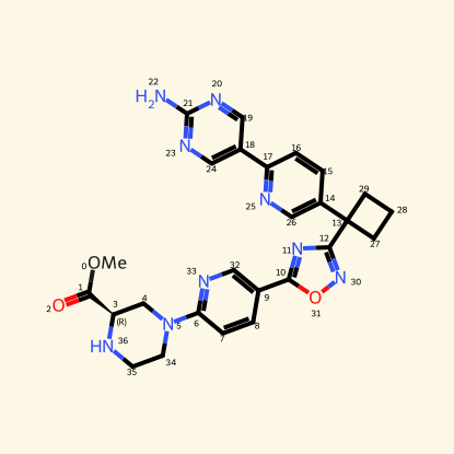 COC(=O)[C@H]1CN(c2ccc(-c3nc(C4(c5ccc(-c6cnc(N)nc6)nc5)CCC4)no3)cn2)CCN1